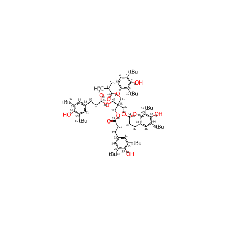 CC(Cc1cc(C(C)(C)C)c(O)c(C(C)(C)C)c1)C(=O)OCC(COC(=O)CCc1cc(C(C)(C)C)c(O)c(C(C)(C)C)c1)(COC(=O)CCc1cc(C(C)(C)C)c(O)c(C(C)(C)C)c1)COC(=O)CCc1cc(C(C)(C)C)c(O)c(C(C)(C)C)c1